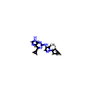 Cc1c(Nc2nc(C3CC3)c3nc[nH]c3n2)cnn1C1CC2CC2C1